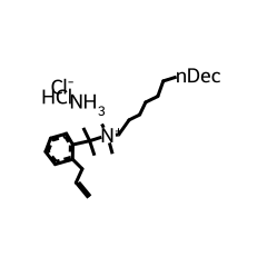 C=CCc1ccccc1C(C)(C)[N+](C)(C)CCCCCCCCCCCCCCCC.Cl.N.[Cl-]